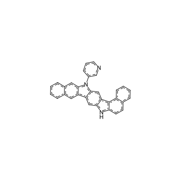 c1cncc(-n2c3cc4ccccc4cc3c3cc4[nH]c5ccc6ccccc6c5c4cc32)c1